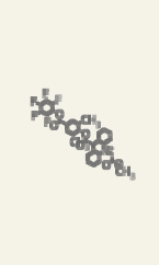 COC(=O)C[n+]1c2ccccc2c(C(=O)Oc2c(C)cc(C(=O)Oc3c(F)c(F)c(F)c(F)c3F)cc2C)c2ccccc21